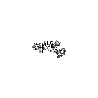 CC(NC(=O)C(=CCCCCC(=O)NOC1CCCCO1)COc1cccc2ccccc12)C1C=CCCC1